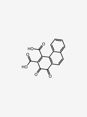 O=C(O)C1=C(C(=O)O)c2c(ccc3ccccc23)C(=O)C1=O